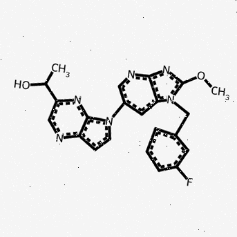 COc1nc2ncc(-n3ccc4ncc(C(C)O)nc43)cc2n1Cc1cccc(F)c1